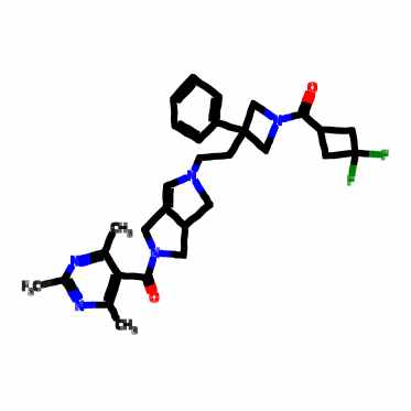 Cc1nc(C(F)(F)F)nc(C)c1C(=O)N1CC2=CN(CCC3(c4ccccc4)CN(C(=O)C4CC(F)(F)C4)C3)CC2C1